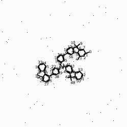 Cc1cc(C)c2c(c1)C(C)(C)c1ccc(-c3cccc(N(c4ccc(-c5cccc6sc7ccccc7c56)cc4)c4ccc5c(c4)C(C)(C)c4ccccc4-5)c3)cc1-2